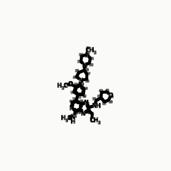 CCc1nc2c(NC)ncc(-c3ccc(N4CCC(N5CCN(C)CC5)CC4)c(OC)c3)c2nc1NCC1CCOCC1